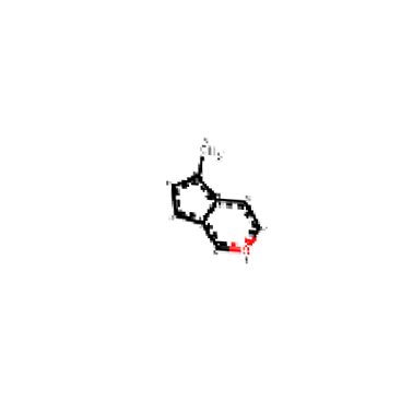 [CH2]c1ccc2coccc1-2